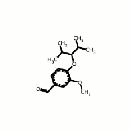 COc1cc(C=O)ccc1OC(C(C)C)C(C)C